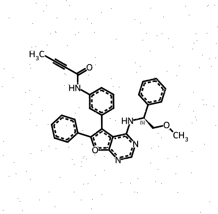 CC#CC(=O)Nc1cccc(-c2c(-c3ccccc3)oc3ncnc(N[C@H](COC)c4ccccc4)c23)c1